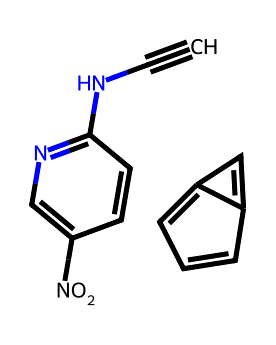 C#CNc1ccc([N+](=O)[O-])cn1.c1cc2cc-2c1